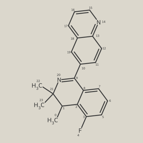 CC1c2c(F)cccc2C(c2ccc3ncccc3c2)=NC1(C)C